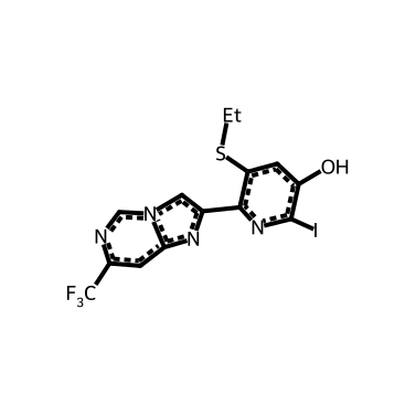 CCSc1cc(O)c(I)nc1-c1cn2cnc(C(F)(F)F)cc2n1